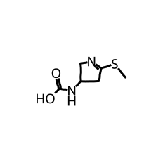 CSC1=NCC(NC(=O)O)C1